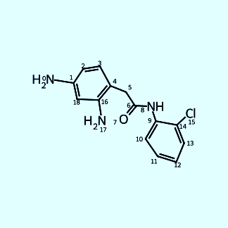 Nc1ccc(CC(=O)Nc2ccccc2Cl)c(N)c1